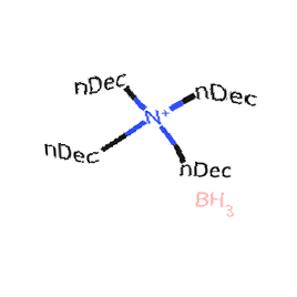 B.CCCCCCCCCC[N+](CCCCCCCCCC)(CCCCCCCCCC)CCCCCCCCCC